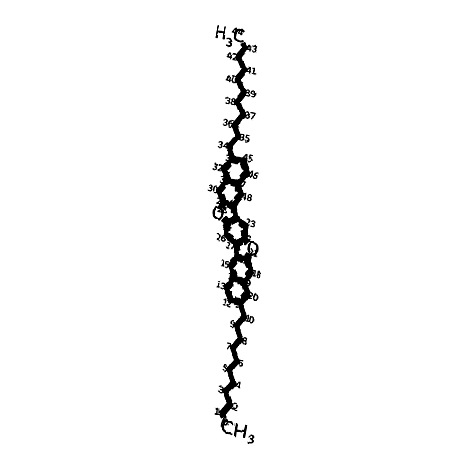 CCCCCCCCCCCc1ccc2cc3c(cc2c1)oc1cc2c(cc13)oc1cc3cc(CCCCCCCCCCC)ccc3cc12